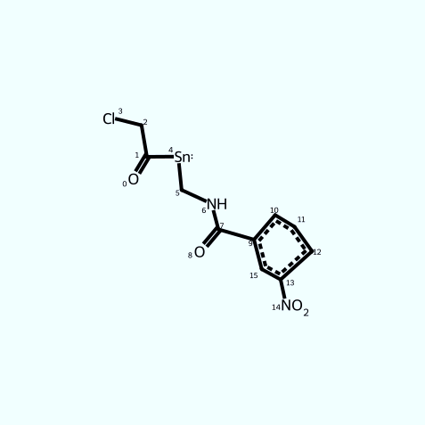 O=[C](CCl)[Sn][CH2]NC(=O)c1cccc([N+](=O)[O-])c1